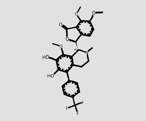 COc1ccc2c(c1OC)C(=O)OC2[C@H]1c2c(c(-c3ccc(C(F)(F)F)cc3)c(O)c(O)c2OC)CCN1C